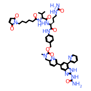 CC(C)[C@H](NC(=O)CCCCCN1C(=O)C=CC1=O)C(=O)N[C@@H](CCCNC(N)=O)C(=O)Nc1ccc(COC(=O)N(C)Cc2ccc(-c3cc(-c4ccccn4)c4[nH]c(NC(N)=O)nc4c3)cn2)cc1